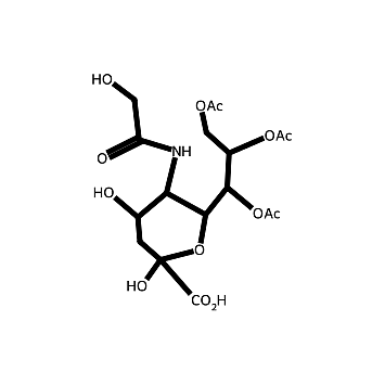 CC(=O)OCC(OC(C)=O)C(OC(C)=O)C1OC(O)(C(=O)O)CC(O)C1NC(=O)CO